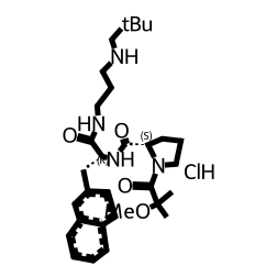 COC(C)(C)C(=O)N1CCC[C@H]1C(=O)N[C@H](Cc1ccc2ccccc2c1)C(=O)NCCCNCC(C)(C)C.Cl